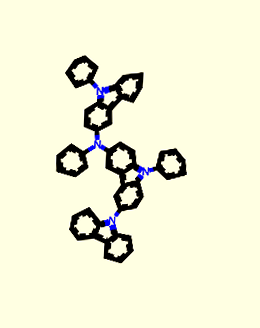 c1ccc(N(c2ccc3c(c2)c2ccccc2n3-c2ccccc2)c2ccc3c(c2)c2cc(-n4c5ccccc5c5ccccc54)ccc2n3-c2ccccc2)cc1